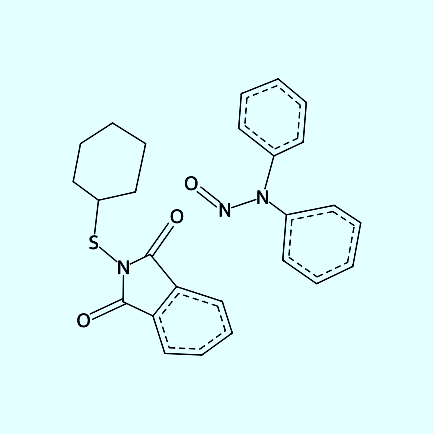 O=C1c2ccccc2C(=O)N1SC1CCCCC1.O=NN(c1ccccc1)c1ccccc1